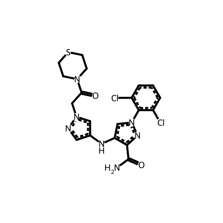 NC(=O)c1nn(-c2c(Cl)cccc2Cl)cc1Nc1cnn(CC(=O)N2CCSCC2)c1